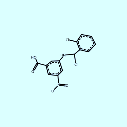 O=C(O)c1cc(NC(Cl)c2ccccc2Cl)cc([N+](=O)[O-])c1